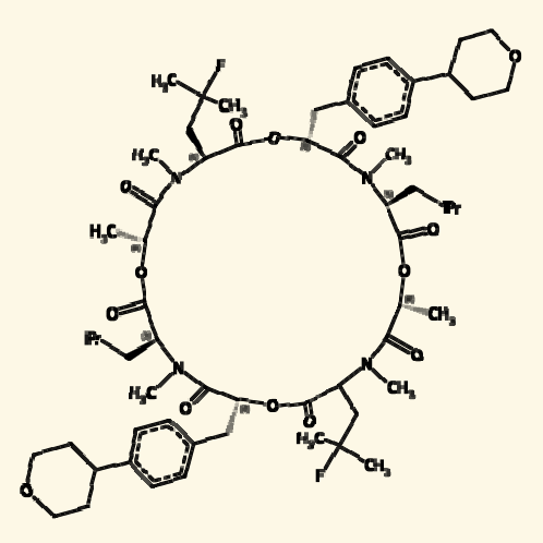 CC(C)C[C@H]1C(=O)O[C@H](C)C(=O)N(C)[C@@H](CC(C)(C)F)C(=O)O[C@H](Cc2ccc(C3CCOCC3)cc2)C(=O)N(C)[C@@H](CC(C)C)C(=O)O[C@H](C)C(=O)N(C)C(CC(C)(C)F)C(=O)O[C@H](Cc2ccc(C3CCOCC3)cc2)C(=O)N1C